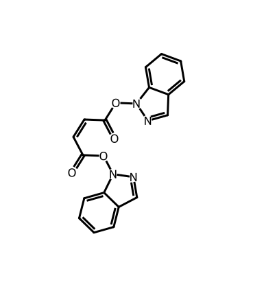 O=C(/C=C\C(=O)On1ncc2ccccc21)On1ncc2ccccc21